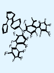 C=C(C)c1c(F)c(N(c2ccc(-c3ccccc3-c3ccccc3)cc2)c2c(F)c(F)c(-c3c(F)c(F)c(F)c(F)c3F)c(F)c2F)c(F)c(F)c1-c1c(F)c(F)c(F)c(F)c1F